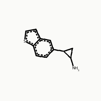 NC1CC1c1ccc2sccc2c1